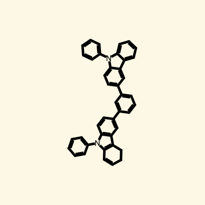 C1=Cc2c(c3cc(-c4cccc(-c5ccc6c(c5)c5ccccc5n6-c5ccccc5)c4)ccc3n2-c2ccccc2)CC1